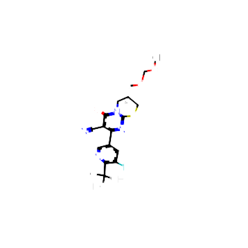 COCOC[C@@H]1CSc2nc(-c3cnc(C(C)(C)C)c(F)c3)c(C#N)c(=O)n2C1